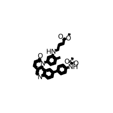 COC(=O)/C=C/CNc1cc(-n2c(=O)ccc3cnc4ccc(-c5ccc(NS(C)(=O)=O)cc5)cc4c32)ccc1C